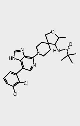 CC1OCC2(CCN(c3ncc(-c4cccc(Cl)c4Cl)c4[nH]cnc34)CC2)C1N[S+]([O-])C(C)(C)C